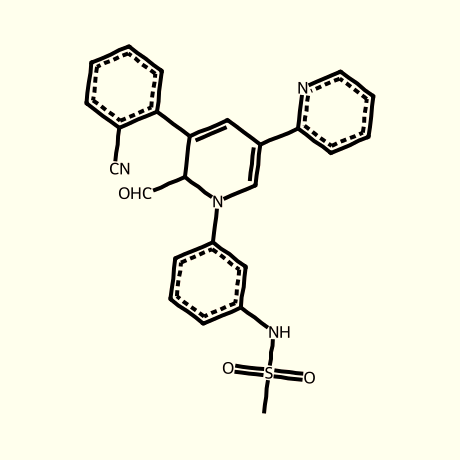 CS(=O)(=O)Nc1cccc(N2C=C(c3ccccn3)C=C(c3ccccc3C#N)C2C=O)c1